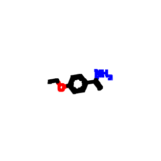 C=C(N)c1ccc(OCC)cc1